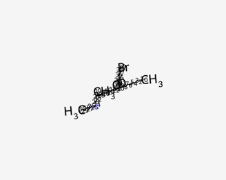 CCCCCC=CCCCCC(CCC=CCCCC(C)CCC/C=C\CCCCC)OC(=O)CCCCCBr